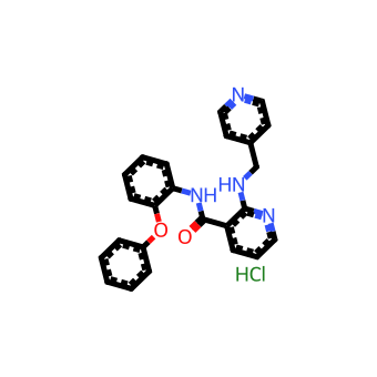 Cl.O=C(Nc1ccccc1Oc1ccccc1)c1cccnc1NCc1ccncc1